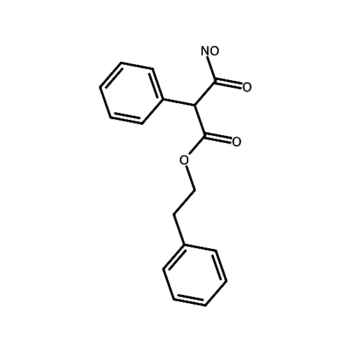 O=NC(=O)C(C(=O)OCCc1ccccc1)c1ccccc1